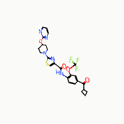 O=C(Nc1ccc(C(=O)C2CCC2)cc1OC(F)(F)F)c1csc(N2CCC(Oc3ncccn3)CC2)n1